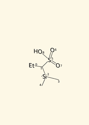 CCC([Si](C)C)S(=O)(=O)O